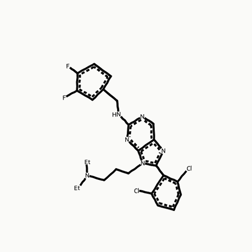 CCN(CC)CCCn1c(-c2c(Cl)cccc2Cl)nc2cnc(NCc3ccc(F)c(F)c3)nc21